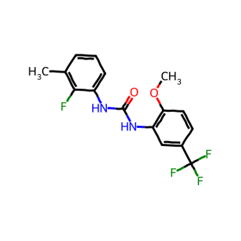 COc1ccc(C(F)(F)F)cc1NC(=O)Nc1cccc(C)c1F